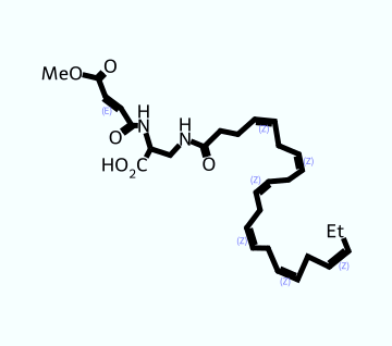 CC/C=C\C/C=C\C/C=C\C/C=C\C/C=C\C/C=C\CCC(=O)NCC(NC(=O)/C=C/C(=O)OC)C(=O)O